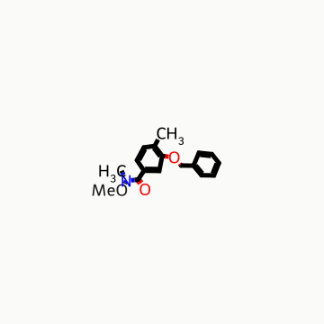 CON(C)C(=O)c1ccc(C)c(OCc2ccccc2)c1